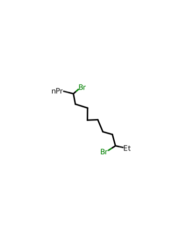 CCCC(Br)CCCCCCC(Br)CC